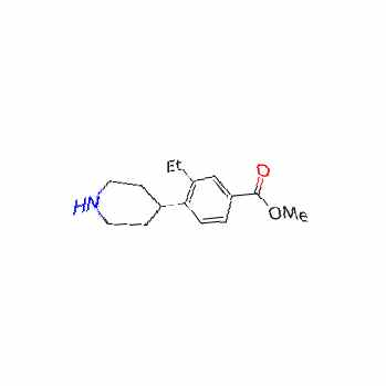 CCc1cc(C(=O)OC)ccc1C1CCNCC1